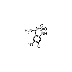 COc1cc2c(cc1O)NS(=O)(=O)N=C2N